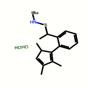 CC1=CC(C)C(c2ccccc2[CH](C)[Ti][NH]C(C)(C)C)=C1C.Cl.Cl